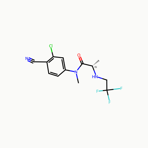 C[C@H](NCC(F)(F)F)C(=O)N(C)c1ccc(C#N)c(Cl)c1